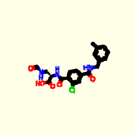 Cc1cccc(CNC(=O)c2ccc(C(=O)N[C@@H](CNC=O)C(=O)O)c(Cl)c2)c1